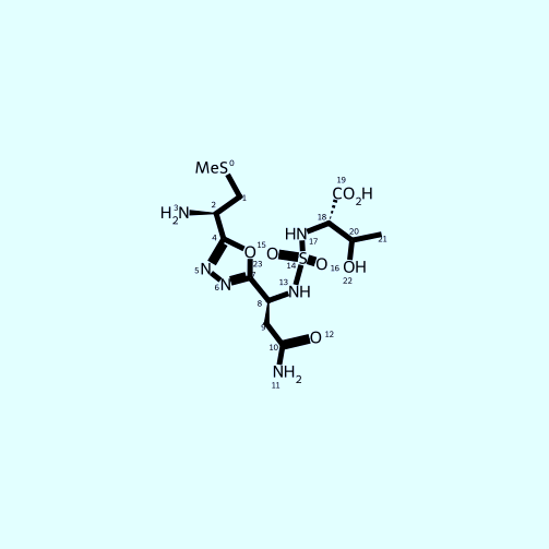 CSC[C@H](N)c1nnc([C@H](CC(N)=O)NS(=O)(=O)N[C@H](C(=O)O)C(C)O)o1